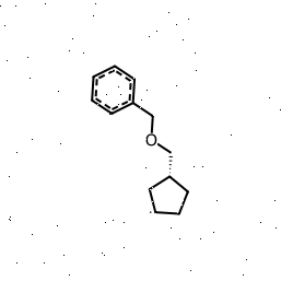 [CH]1CC[C@@H](COCc2ccccc2)C1